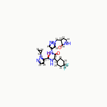 O=C(NC(C(=O)Nc1cnn(CC2CCNC2=O)c1)C1CCC(F)(F)CC1)c1ccnn1C1CC1